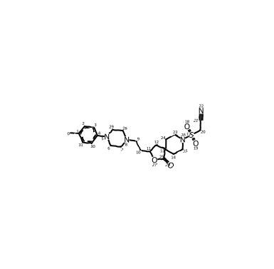 Cc1ccc(N2CCN(CCC3CC4(CCN(S(=O)(=O)CC#N)CC4)C(=O)O3)CC2)cc1